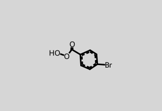 O=C(OO)c1ccc(Br)cc1